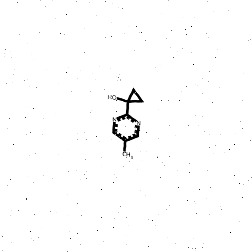 Cc1cnc(C2(O)CC2)nc1